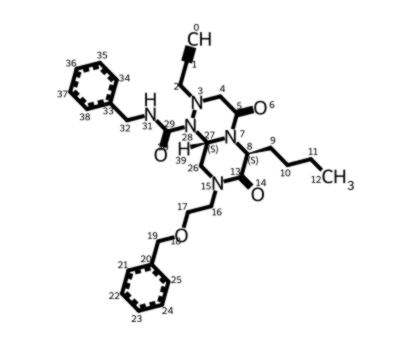 C#CCN1CC(=O)N2[C@@H](CCCC)C(=O)N(CCOCc3ccccc3)C[C@@H]2N1C(=O)NCc1ccccc1